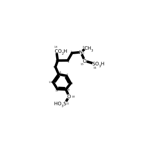 CN(CCC(Cc1ccc(OS(=O)(=O)O)cc1)C(=O)O)OS(=O)(=O)O